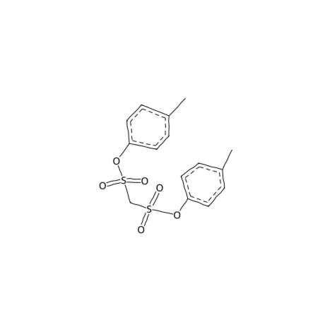 Cc1ccc(OS(=O)(=O)CS(=O)(=O)Oc2ccc(C)cc2)cc1